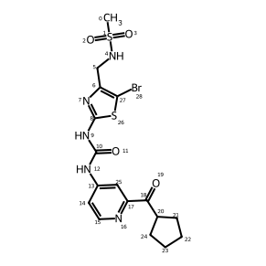 CS(=O)(=O)NCc1nc(NC(=O)Nc2ccnc(C(=O)C3CCCC3)c2)sc1Br